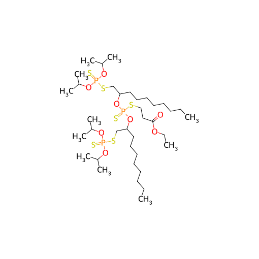 CCCCCCCCC(CSP(=S)(OC(C)C)OC(C)C)OP(=S)(OC(CCCCCCCC)CSP(=S)(OC(C)C)OC(C)C)SCCC(=O)OCC